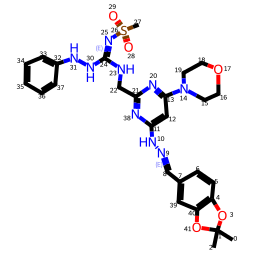 CC1(C)Oc2ccc(/C=N/Nc3cc(N4CCOCC4)nc(CN/C(=N\S(C)(=O)=O)NNc4ccccc4)n3)cc2O1